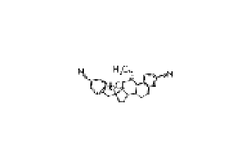 C=C[C@H]1C[C@@]2(C)C(CC[C@@]2(O)Cc2ccc(C#N)cc2)C2CCc3cc(C#N)ccc3C21